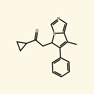 CC1=C(c2ccccc2)C(CC(=O)C2CC2)n2cncc21